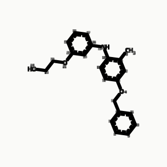 Cc1cc(OCc2ccccc2)ccc1Nc1cccc(OCCO)c1